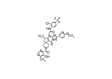 COc1ccc(-c2nc3n(CC(=O)Nc4ccc(C(F)(F)F)cc4Cl)c4c(c(=O)n3n2)C2(CCN(C(=O)c3ncnc(C)c3O)CC2)CC4C)cn1